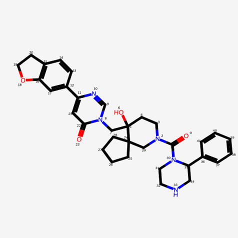 O=C(N1CCC(O)(Cn2cnc(-c3ccc4c(c3)OCC4)cc2=O)C2(CCCC2)C1)N1CCNCC1c1ccccc1